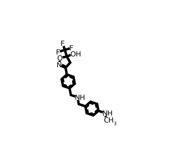 CNc1ccc(CNCc2ccc(C3=NOC(O)(C(F)(F)F)C3)cc2)cc1